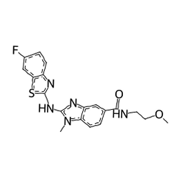 COCCNC(=O)c1ccc2c(c1)nc(Nc1nc3ccc(F)cc3s1)n2C